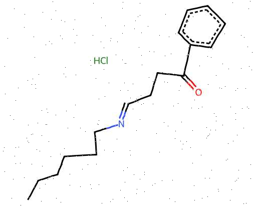 CCCCCCN=CCCC(=O)c1ccccc1.Cl